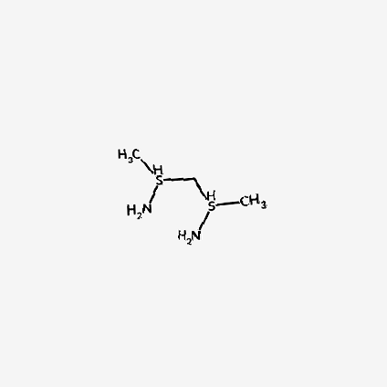 C[SH](N)C[SH](C)N